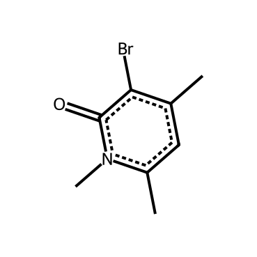 Cc1cc(C)n(C)c(=O)c1Br